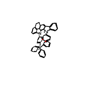 c1ccc(-n2c3ccccc3c3cc4c5c6c(cccc6n(-c6ccc([Si](c7ccccc7)(c7ccccc7)c7ccccc7)cc6)c5c32)CC4)cc1